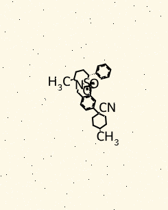 C[C@H]1CC[C@H](c2ccccc2)S(=O)(=O)N1Cc1ccc([C@]2(C#N)CC[C@@H](C)CC2)cc1F